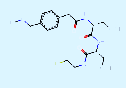 C[C@H](CS)NC(=O)[C@H](CC(=O)O)NC(=O)[C@H](CC(=O)O)NC(=O)Cc1ccc(CNC=O)cc1